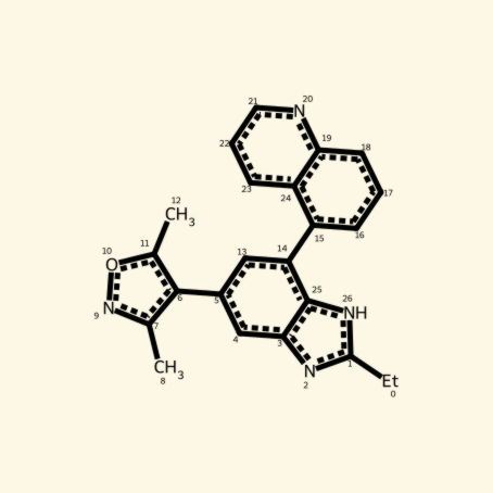 CCc1nc2cc(-c3c(C)noc3C)cc(-c3cccc4ncccc34)c2[nH]1